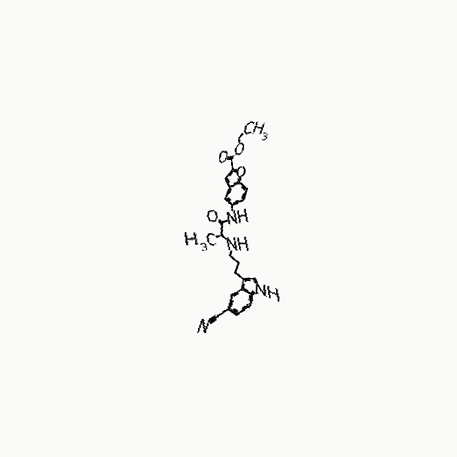 CCOC(=O)c1cc2cc(NC(=O)[C@H](C)NCCCc3c[nH]c4ccc(C#N)cc34)ccc2o1